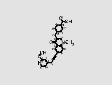 COc1cc(CC#Cc2ccc3c(c2)c(=O)c(Cc2ccc(C(=O)O)cc2)cn3C)ccn1